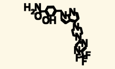 NC(=O)c1ccc(Cn2ccc3c(N4CCN(c5cnc(C(F)(F)F)cn5)CC4)ccnc32)cc1O